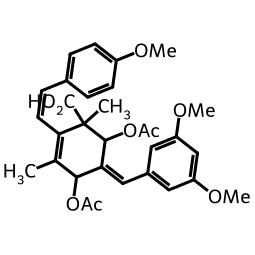 COc1ccc(/C=C\C2=C(C)C(OC(C)=O)/C(=C/c3cc(OC)cc(OC)c3)C(OC(C)=O)C2(C)C(=O)O)cc1